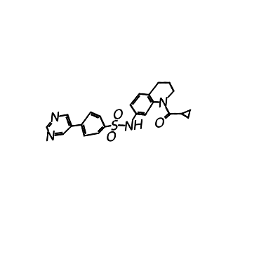 O=C(C1CC1)N1CCCc2ccc(NS(=O)(=O)c3ccc(-c4cncnc4)cc3)cc21